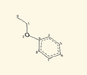 CCOc1[c]cc[c]c1